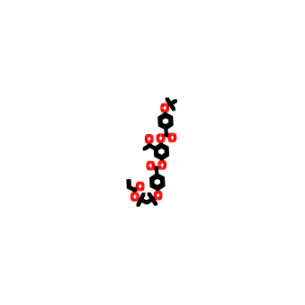 C=CC(=O)OC(C)(C)CC(C)(C)Oc1ccc(C(=O)Oc2ccc(OC(=O)c3ccc(OC(C)(C)C)cc3)c(C(C)=O)c2)cc1